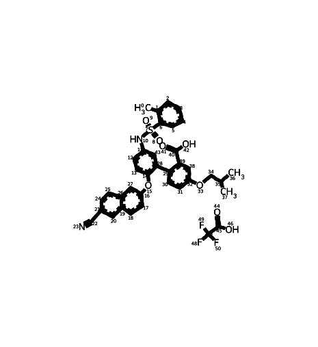 Cc1ccccc1S(=O)(=O)Nc1ccc(Oc2ccc3cc(C#N)ccc3c2)c(-c2ccc(OCC(C)C)cc2C(=O)O)c1.O=C(O)C(F)(F)F